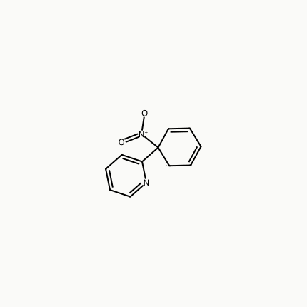 O=[N+]([O-])C1(c2ccccn2)[CH]C=CC=C1